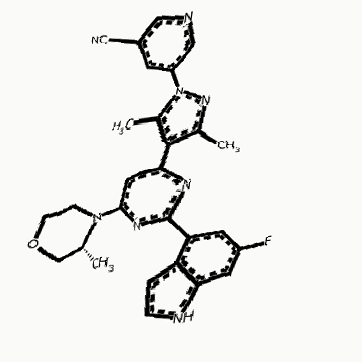 Cc1nn(-c2cncc(C#N)c2)c(C)c1-c1cc(N2CCOC[C@H]2C)nc(-c2cc(F)cc3[nH]ccc23)n1